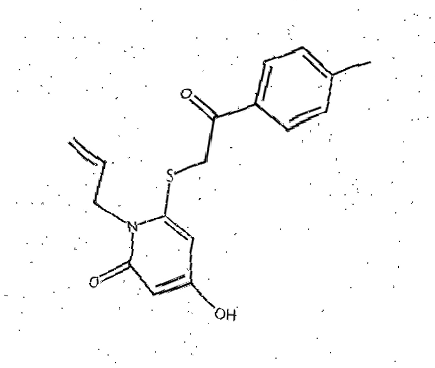 C=CCn1c(SCC(=O)c2ccc(C)cc2)cc(O)cc1=O